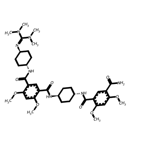 COc1cc(OC)c(C(=O)N[C@H]2CC[C@H](NC(=O)c3cc(C(=O)N[C@H]4CC[C@H](N=C(N(C)C)N(C)C)CC4)c(OC)cc3OC)CC2)cc1C(N)=O